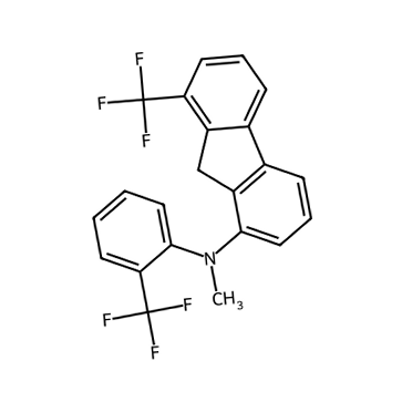 CN(c1ccccc1C(F)(F)F)c1cccc2c1Cc1c-2cccc1C(F)(F)F